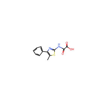 Cc1sc(NC(=O)C(=O)O)nc1-c1ccccc1